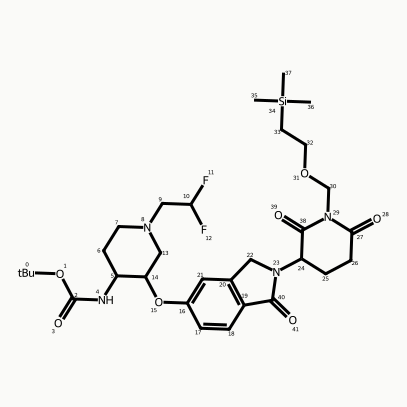 CC(C)(C)OC(=O)NC1CCN(CC(F)F)CC1Oc1ccc2c(c1)CN(C1CCC(=O)N(COCC[Si](C)(C)C)C1=O)C2=O